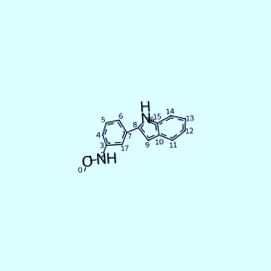 CONc1cccc(-c2cc3ccccc3[nH]2)c1